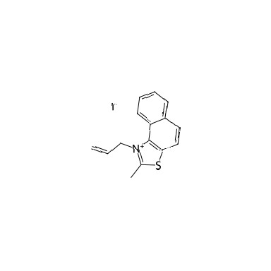 C=CC[n+]1c(C)sc2ccc3ccccc3c21.[I-]